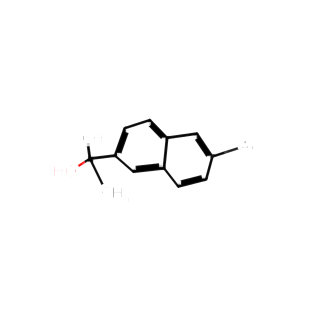 CC(=O)c1ccc2cc(C(C)(C)O)ccc2c1